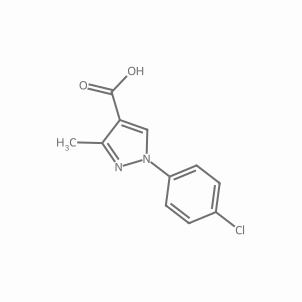 Cc1nn(-c2ccc(Cl)cc2)cc1C(=O)O